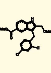 COCc1[nH]c2ccc(C(=O)OC)cc2c1Cc1ccc(Cl)cc1Cl